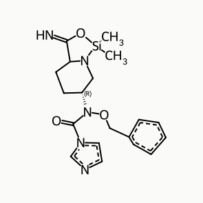 C[Si]1(C)OC(=N)C2CC[C@@H](N(OCc3ccccc3)C(=O)n3ccnc3)CN21